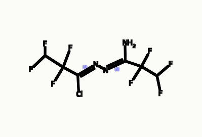 N/C(=N\N=C(/Cl)C(F)(F)C(F)F)C(F)(F)C(F)F